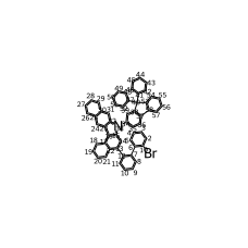 Brc1ccccc1-c1ccccc1-c1cc2c(c3ccccc13)c1cc3ccccc3cc1n2-c1ccc2c(c1)C(c1ccccc1)(c1ccccc1)c1ccccc1-2